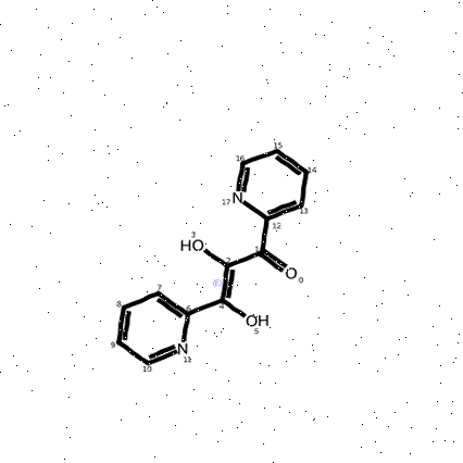 O=C(/C(O)=C(\O)c1ccccn1)c1ccccn1